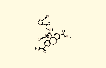 N#CC1CCCN1C(=O)CN[C@@H]1CC2(c3ccc(C(N)=O)cc3CCc3cc(C(N)=O)ccc32)c2nc(=O)on21